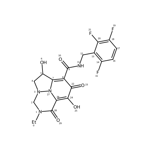 CCN1CN2CC(O)c3c(C(=O)NCc4c(F)ccc(F)c4F)c(=O)c(O)c(n32)C1=O